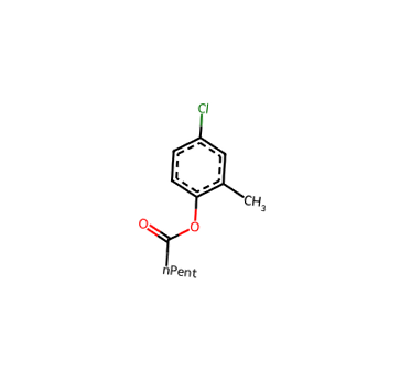 CCCCCC(=O)Oc1ccc(Cl)cc1C